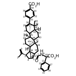 C=C(C)[C@@H]1CC[C@]2(C(=O)NC(C(=O)O)c3ccccc3)CC[C@]3(C)[C@H](CC[C@@H]4[C@@]5(C)CC=C(c6ccc(C(=O)O)cc6)C(C)(C)[C@@H]5CC[C@]43C)[C@@H]12